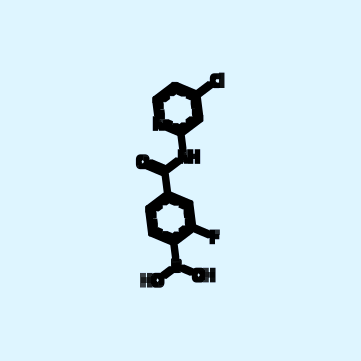 O=C(Nc1cc(Cl)ccn1)c1ccc(B(O)O)c(F)c1